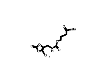 CCCCC(=O)CCCOC(=O)NCc1oc(=O)oc1C